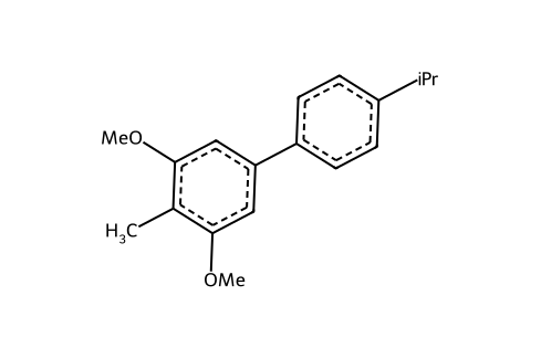 COc1cc(-c2ccc(C(C)C)cc2)cc(OC)c1C